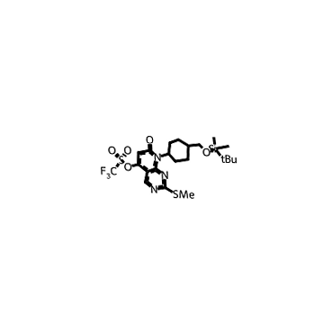 CSc1ncc2c(OS(=O)(=O)C(F)(F)F)cc(=O)n(C3CCC(CO[Si](C)(C)C(C)(C)C)CC3)c2n1